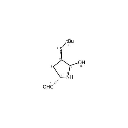 CC(C)(C)S[C@@H]1C[C@@H](C=O)NC1O